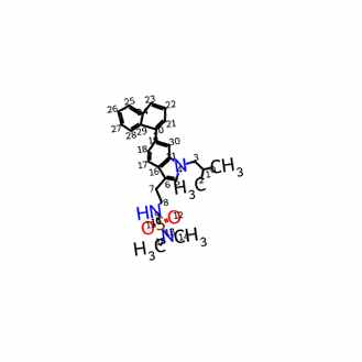 CC(C)Cn1cc(CCNS(=O)(=O)N(C)C)c2ccc(-c3cccc4ccccc34)cc21